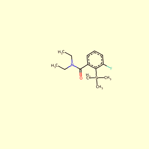 CCN(CC)C(=O)c1cccc(F)c1[Si](C)(C)C